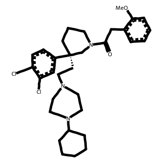 COc1ccccc1CC(=O)N1CCC[C@](CCN2CCN(C3CCCCC3)CC2)(c2ccc(Cl)c(Cl)c2)C1